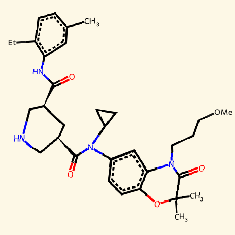 CCc1ccc(C)cc1NC(=O)[C@@H]1CNC[C@H](C(=O)N(c2ccc3c(c2)N(CCCOC)C(=O)C(C)(C)O3)C2CC2)C1